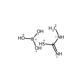 CNC(=N)S.OB(O)O